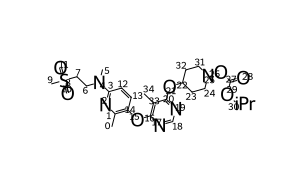 Cc1nc(N(C)CCS(C)(=O)=O)ccc1Oc1ncnc(OC2CCN(OC(=O)OC(C)C)CC2)c1C